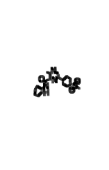 Cc1ncc(-c2ccc(S(C)(=O)=O)cc2)nc1C(=O)Nc1ccccc1